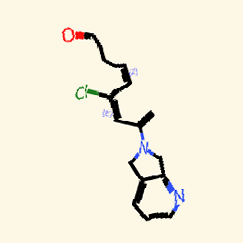 C=C(/C=C(Cl)\C=C/CC=O)N1Cc2cccnc2C1